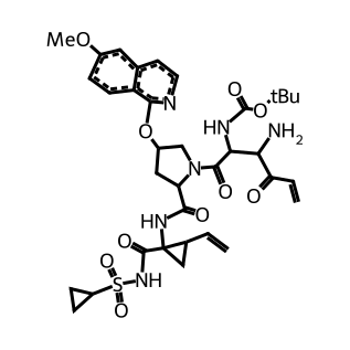 C=CC(=O)C(N)C(NC(=O)OC(C)(C)C)C(=O)N1CC(Oc2nccc3cc(OC)ccc23)CC1C(=O)NC1(C(=O)NS(=O)(=O)C2CC2)CC1C=C